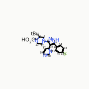 CC(C)(C)C1CN(c2n[nH]c(-c3ccc(F)cc3)c2-c2ccncn2)CCN1C(=O)O